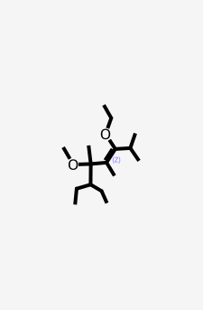 CCO/C(=C(/C)C(C)(OC)C(CC)CC)C(C)C